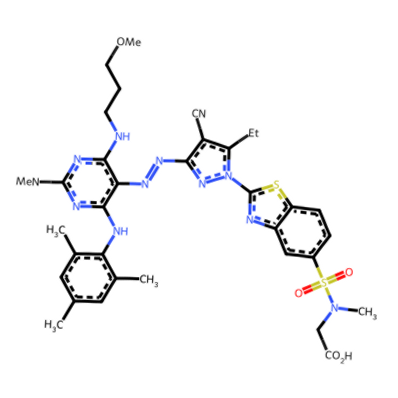 CCc1c(C#N)c(N=Nc2c(NCCCOC)nc(NC)nc2Nc2c(C)cc(C)cc2C)nn1-c1nc2cc(S(=O)(=O)N(C)CC(=O)O)ccc2s1